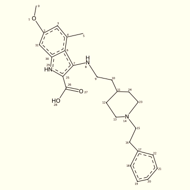 COc1cc(C)c2c(NCCC3CCN(CCc4ccccc4)CC3)c(C(=O)O)[nH]c2c1